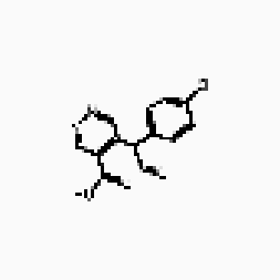 O=CC(c1ccc(Cl)cc1)c1cnncc1C(=O)O